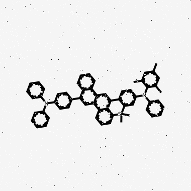 Cc1cc(C)c(N(c2ccccc2)c2ccc3c(c2)[Si](C)(C)c2cccc4c2c-3cc2c3ccccc3c(-c3ccc(N(c5ccccc5)c5ccccc5)cc3)cc42)c(C)c1